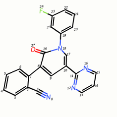 N#Cc1ccccc1-c1cc(-c2ncccn2)cn(-c2cccc(F)c2)c1=O